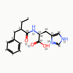 CCC(Cc1ccccc1)C(=O)N[C@@H](Cc1c[nH]cn1)C(=O)O